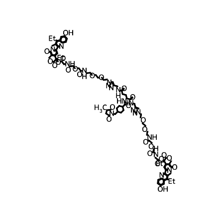 CCc1c2c(nc3ccc(O)cc13)-c1cc3c(c(=O)n1C2)COC(=O)C3(CC)OC(=O)CNC(=O)COCC(=O)NCCOCCOCCn1cc(CNC(=O)CCC(NC(=O)C2CCC(CN3C(=O)CC(C)C3=O)CC2)C(=O)NCc2cn(CCOCCOCCNC(=O)COCC(=O)NCC(=O)OC3(CC)C(=O)OCc4c3cc3n(c4=O)Cc4c-3nc3ccc(O)cc3c4CC)nn2)nn1